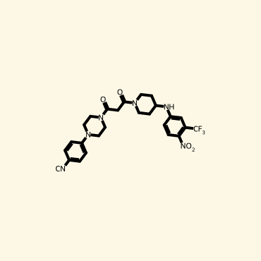 [C-]#[N+]c1ccc(N2CCN(C(=O)CC(=O)N3CCC(Nc4ccc([N+](=O)[O-])c(C(F)(F)F)c4)CC3)CC2)cc1